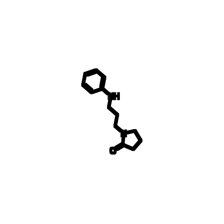 O=C1CCCN1CCCNc1ccccc1